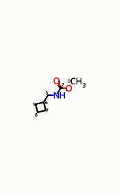 COC(=O)NCC1CCC1